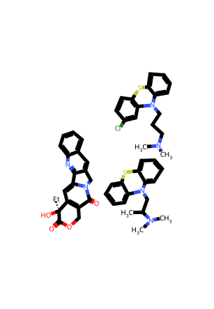 CC(CN1c2ccccc2Sc2ccccc21)N(C)C.CC[C@@]1(O)C(=O)OCc2c1cc1n(c2=O)Cc2cc3ccccc3nc2-1.CN(C)CCCN1c2ccccc2Sc2ccc(Cl)cc21